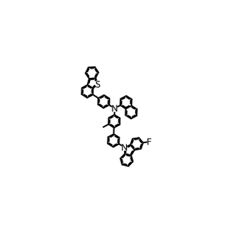 Cc1cc(N(c2ccc(-c3cccc4c3sc3ccccc34)cc2)c2cccc3ccccc23)ccc1-c1cccc(-n2c3ccccc3c3cc(F)ccc32)c1